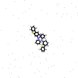 c1ccc2c(c1)N(c1cccc3c1sc1ccccc13)c1cccc3c4cc5c(cc4n-2c13)sc1ccccc15